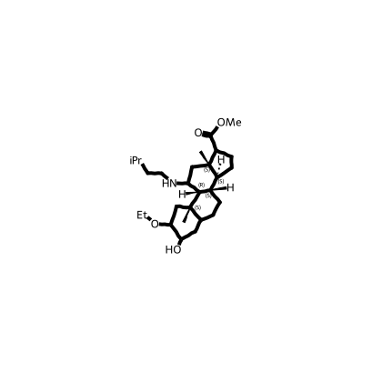 CCOC1C[C@@]2(C)C(CC[C@@H]3[C@H]2C(NCCC(C)C)C[C@]2(C)C(C(=O)OC)CC[C@@H]32)CC1O